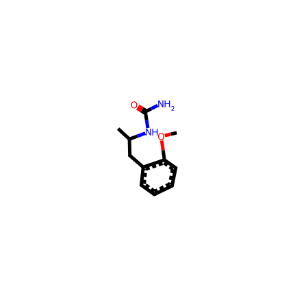 COc1ccccc1CC(C)NC(N)=O